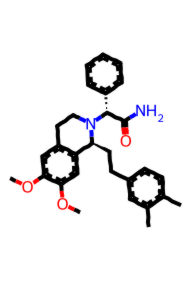 COc1cc2c(cc1OC)[C@H](CCc1ccc(C)c(C)c1)N([C@@H](C(N)=O)c1ccccc1)CC2